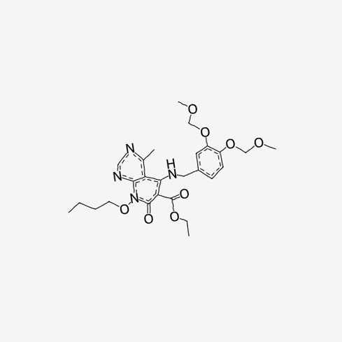 CCCCOn1c(=O)c(C(=O)OCC)c(NCc2ccc(OCOC)c(OCOC)c2)c2c(C)ncnc21